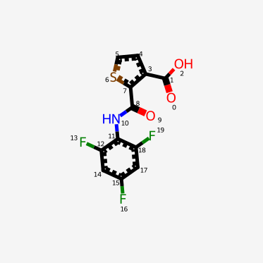 O=C(O)c1ccsc1C(=O)Nc1c(F)cc(F)cc1F